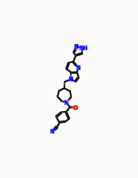 N#Cc1ccc(C(=O)N2CCCC(Cn3ccc4nc(-c5cn[nH]c5)ccc43)CC2)cc1